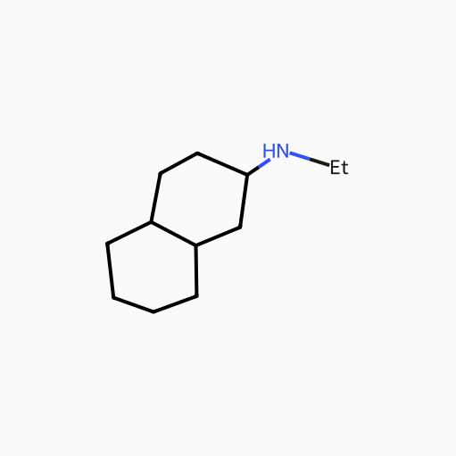 CCNC1CCC2CCCCC2C1